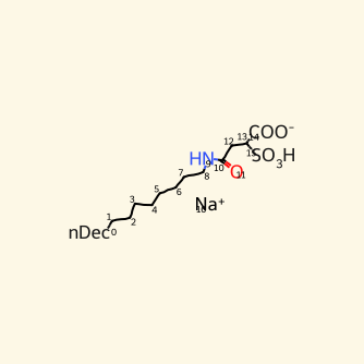 CCCCCCCCCCCCCCCCCCNC(=O)CC(C(=O)[O-])S(=O)(=O)O.[Na+]